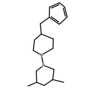 CC1CC(C)CN(N2CCC(Cc3ccccc3)CC2)C1